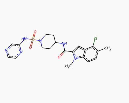 Cc1ccc2c(cc(C(=O)NC3CCN(S(=O)(=O)Nc4cnccn4)CC3)n2C)c1Cl